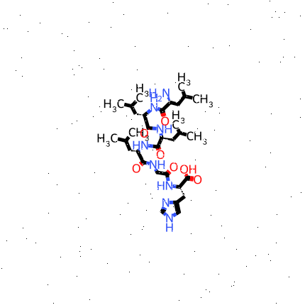 CC(C)C[C@H](NC(=O)[C@H](CC(C)C)NC(=O)[C@H](CC(C)C)NC(=O)[C@@H](N)CC(C)C)C(=O)NCC(=O)N[C@@H](Cc1c[nH]cn1)C(=O)O